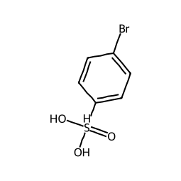 O=[SH](O)(O)c1ccc(Br)cc1